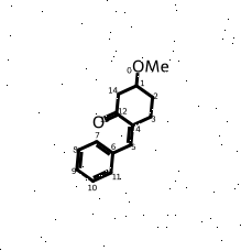 COC1CCC(=Cc2ccccc2)C(=O)C1